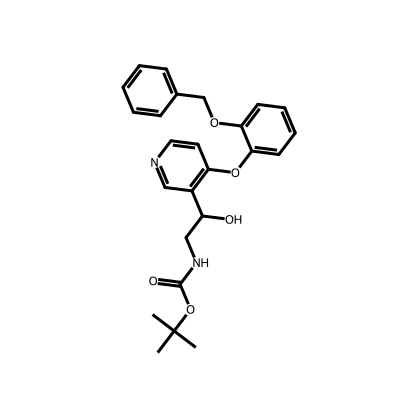 CC(C)(C)OC(=O)NCC(O)c1cnccc1Oc1ccccc1OCc1ccccc1